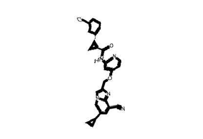 N#Cc1cc(C2CC2)cn2cc(COc3ccnc(NC(=O)[C@H]4C[C@@H]4c4cccc(Cl)c4)c3)nc12